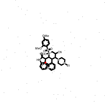 CCOc1ncccc1C1C(N2CCN(CC)CC2)C(C#N)C[N+](C(=O)[O-])(S(=O)(=O)c2ccc(OC)cc2OC)C1C1C(=O)Nc2ccccc21